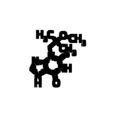 COC(C)(C)Cn1c(=S)[nH]c(=O)c2[nH]cnc21